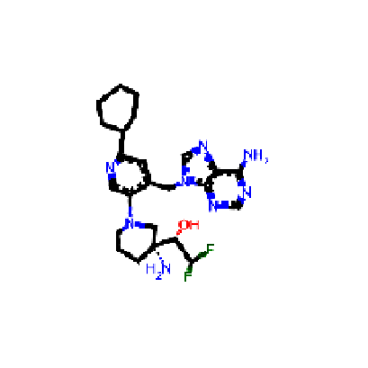 Nc1ncnc2c1ncn2Cc1cc(C2CCCCC2)ncc1N1CCC[C@](N)([C@H](O)C(F)F)C1